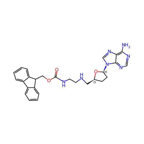 Nc1ncnc2c1ncn2[C@H]1CC[C@@H](CNCCNC(=O)OCC2c3ccccc3-c3ccccc32)O1